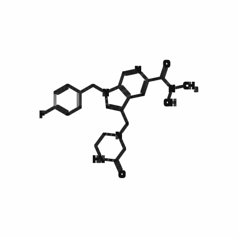 CN(O)C(=O)c1cc2c(CN3CCNC(=O)C3)cn(Cc3ccc(F)cc3)c2cn1